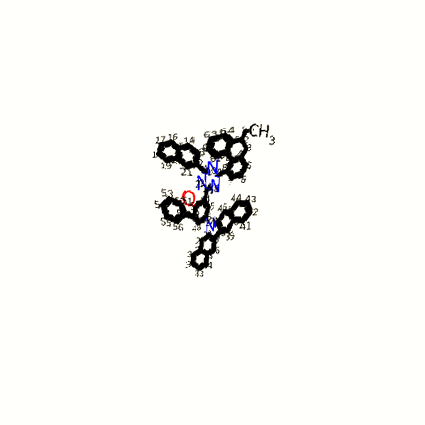 CCC1Cc2cccc(-c3nc(-c4ccc5ccccc5c4)nc(-c4cc(-n5c6cc7ccccc7cc6c6cc7ccccc7cc65)cc5c4oc4ccccc45)n3)c2-c2ccccc21